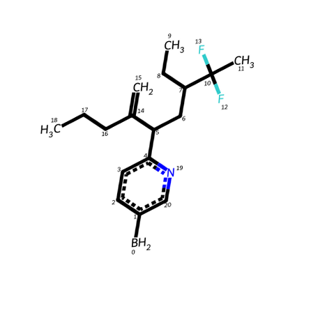 Bc1ccc(C(CC(CC)C(C)(F)F)C(=C)CCC)nc1